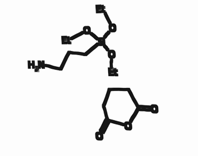 CCO[Si](CCCN)(OCC)OCC.O=C1CCCC(=O)O1